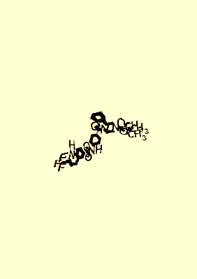 CC(C)(C)OC(=O)N1CCN(C(=O)[C@H]2CC[C@H](NS(=O)(=O)c3ccc4c(c3)CCC(C(F)(F)F)N4)CC2)C(c2ccccc2)C1